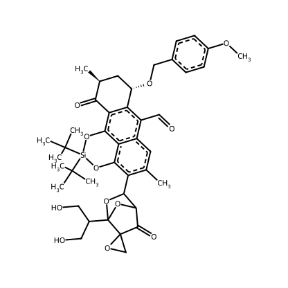 COc1ccc(CO[C@H]2C[C@H](C)C(=O)c3c2c(C=O)c2cc(C)c(C4OC5(C(CO)CO)OC4C(=O)C54CO4)c4c2c3O[Si](C(C)(C)C)(C(C)(C)C)O4)cc1